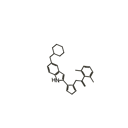 C=C(CC1=CCC=C1c1cc2cc(CC3CCCCC3)ccc2[nH]1)c1c(C)cccc1C